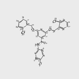 O=C(Nc1cnc(Cl)cn1)c1cc(OCc2ccccc2Cl)cc(OCc2ccccc2Cl)c1